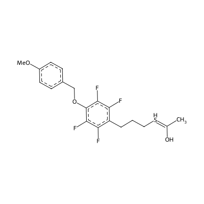 COc1ccc(COc2c(F)c(F)c(CCC[SH]=C(C)O)c(F)c2F)cc1